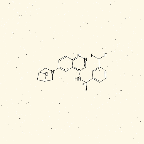 C[C@@H](Nc1cnnc2ccc(N3CC4CC(C3)O4)cc12)c1cccc(C(F)F)c1